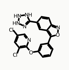 Clc1cnc(Oc2cccc(-c3onc4ccc(C5=NNNN5)cc34)c2)c(Cl)c1